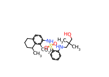 CC1CCCc2ccc(NS(=O)(=O)c3ccccc3NCC(C)(C)CO)c(C(=O)O)c21